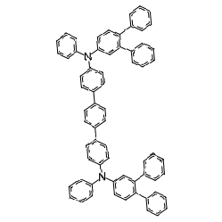 c1ccc(-c2ccc(N(c3ccccc3)c3ccc(-c4ccc(-c5ccc(N(c6ccccc6)c6ccc(-c7ccccc7)c(-c7ccccc7)c6)cc5)cc4)cc3)cc2-c2ccccc2)cc1